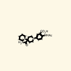 CC(=O)Nc1ccc(N2CCC(C(N)=O)(N3CCCCC3)CC2)cc1C(=O)O